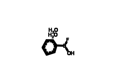 O.O.OB(F)c1ccccc1